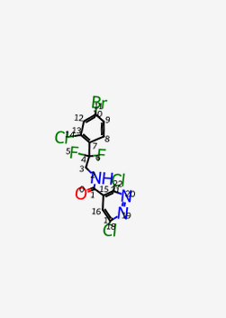 O=C(NCC(F)(F)c1ccc(Br)cc1Cl)c1cc(Cl)nnc1Cl